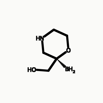 B[C@]1(CO)CNCCO1